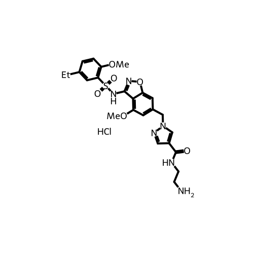 CCc1ccc(OC)c(S(=O)(=O)Nc2noc3cc(Cn4cc(C(=O)NCCN)cn4)cc(OC)c23)c1.Cl